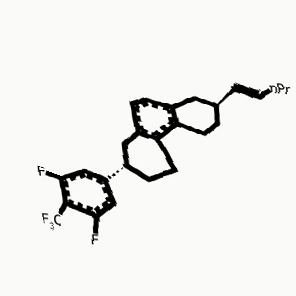 CCCC=C[C@H]1CCc2c(ccc3c2CC[C@H](c2cc(F)c(C(F)(F)F)c(F)c2)C3)C1